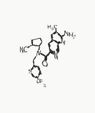 Cc1cc2cc(C(=O)N(Cc3ccc(C(F)(F)F)cn3)[C@@H]3CCC[C@@H]3C#N)ncc2nc1N